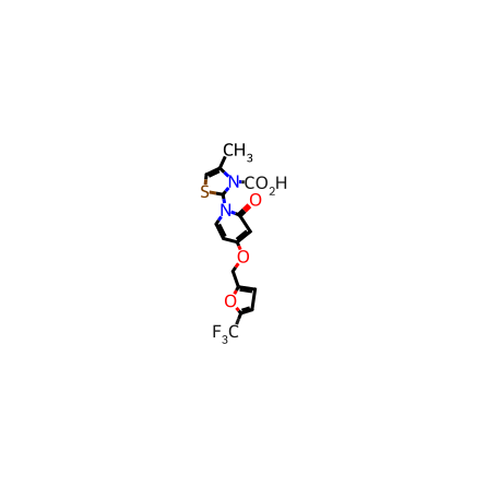 CC1=CSC(n2ccc(OCc3ccc(C(F)(F)F)o3)cc2=O)N1C(=O)O